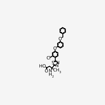 C[C@](N)(CC(=O)O)c1nnc(-c2ccc(Oc3cccc(OCc4ccccc4)c3)cc2Cl)s1